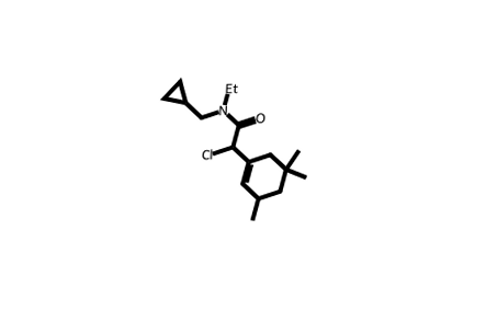 CCN(CC1CC1)C(=O)C(Cl)C1=CC(C)CC(C)(C)C1